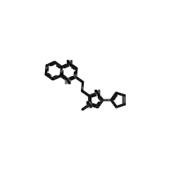 Cn1cc(C2=CC=CC2)nc1CCc1cnc2ccccc2n1